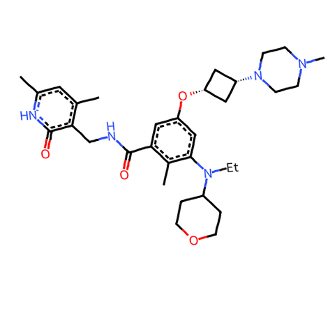 CCN(c1cc(O[C@H]2C[C@@H](N3CCN(C)CC3)C2)cc(C(=O)NCc2c(C)cc(C)[nH]c2=O)c1C)C1CCOCC1